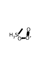 C[SiH3].O=[O+][O-]